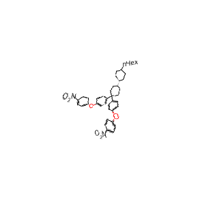 CCCCCC[C@H]1CC[C@H](C2CCC(c3ccc(Oc4ccc([N+](=O)[O-])cc4)cc3)(c3ccc(Oc4ccc([N+](=O)[O-])cc4)cc3)CC2)CC1